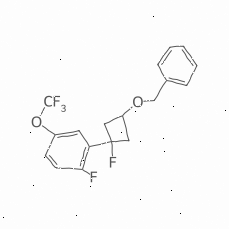 Fc1ccc(OC(F)(F)F)cc1C1(F)CC(OCc2ccccc2)C1